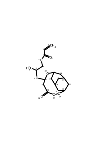 C=CC(=O)OCC(C)OC1CC(=O)OCC2CC3CC(C2)CC(C3)O1